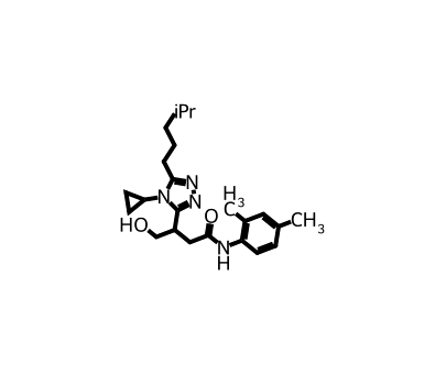 Cc1ccc(NC(=O)CC(CO)c2nnc(CCCC(C)C)n2C2CC2)c(C)c1